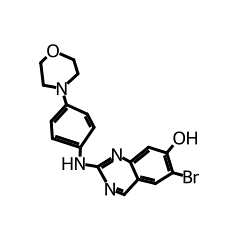 Oc1cc2nc(Nc3ccc(N4CCOCC4)cc3)ncc2cc1Br